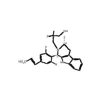 C[C@@H]1Cc2c([nH]c3ccccc23)[C@@H](c2c(F)cc(C=CC(=O)O)cc2F)N1CC(C)(F)CO